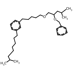 CC(C)CCCCCCc1cccc(CCCCCOCC(CC(C)C)OCc2ccccc2)c1